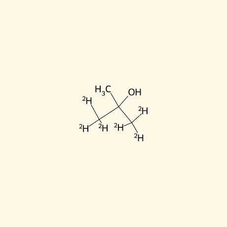 [2H]C([2H])([2H])C(C)(O)C([2H])([2H])[2H]